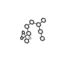 c1ccc(-c2ccc(-c3cc(-c4ccccc4)cc(-c4cccc(-c5cccc(-c6ccc7c(c6)C6(c8ccccc8O7)c7ccccc7-c7ccccc76)c5)c4)c3)cc2)cc1